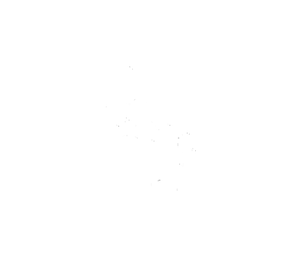 N#Cc1cc(F)c(-n2ncc3cnc(Nc4cc(NC[C@@H](O)C(F)(F)F)ncn4)cc32)c(Cl)c1